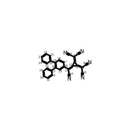 N#CC(C#N)=C1C(=C(C#N)C#N)C1=C(C#N)c1ccc(-c2ccccc2)c(-c2ccccc2)c1